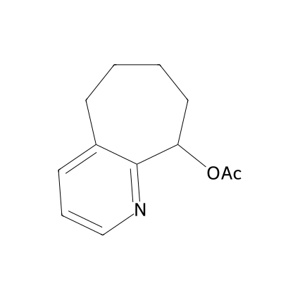 CC(=O)OC1CCCCc2cccnc21